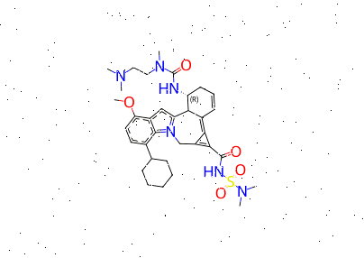 COc1ccc(C2CCCCC2)c2c1cc1n2CC2=C(C(=O)NS(=O)(=O)N(C)C)C2=C2C=CC[C@@H](NC(=O)N(C)CCN(C)C)C21